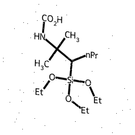 CCCC(C(C)(C)NC(=O)O)[Si](OCC)(OCC)OCC